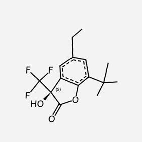 CCc1cc(C(C)(C)C)c2c(c1)[C@@](O)(C(F)(F)F)C(=O)O2